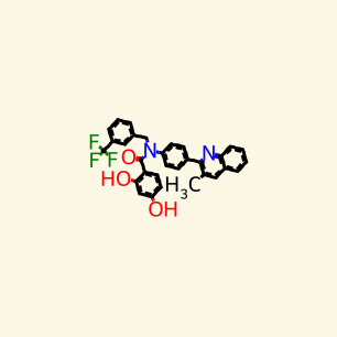 Cc1cc2ccccc2nc1-c1ccc(N(Cc2cccc(C(F)(F)F)c2)C(=O)c2ccc(O)cc2O)cc1